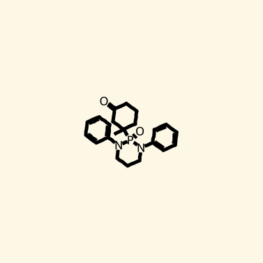 CC1(P2(=O)N(c3ccccc3)CCCN2c2ccccc2)CCCC(=O)C1